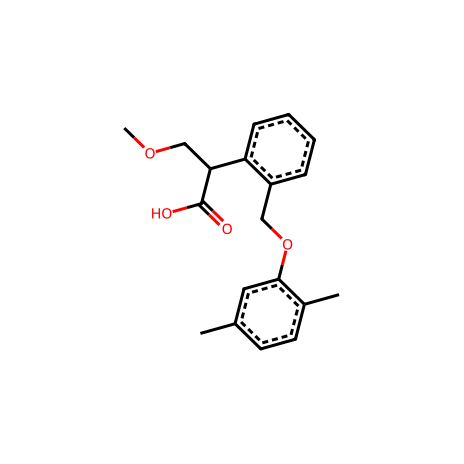 COCC(C(=O)O)c1ccccc1COc1cc(C)ccc1C